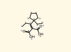 CCC(=C(C(=O)O)C(=O)O)C1(CC)CCCC1